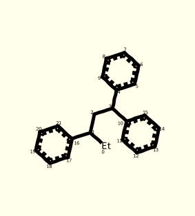 CCC(CC(c1ccccc1)c1ccccc1)c1c[c]ccc1